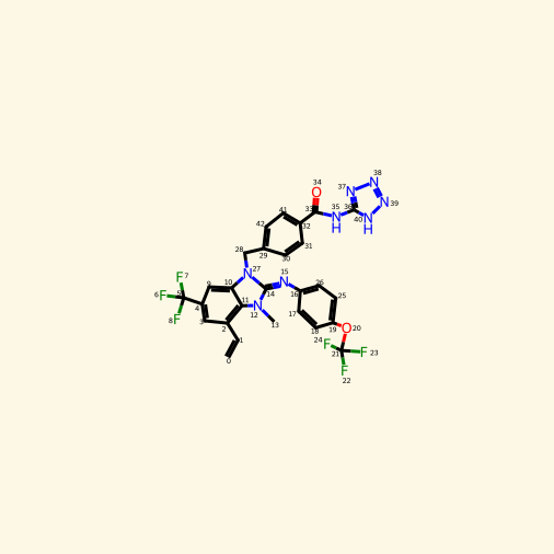 C=Cc1cc(C(F)(F)F)cc2c1n(C)c(=Nc1ccc(OC(F)(F)F)cc1)n2Cc1ccc(C(=O)Nc2nnn[nH]2)cc1